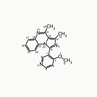 COc1ccncc1-c1nc(C)c2c(C)nc3ccccc3n12